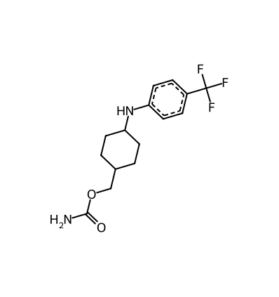 NC(=O)OCC1CCC(Nc2ccc(C(F)(F)F)cc2)CC1